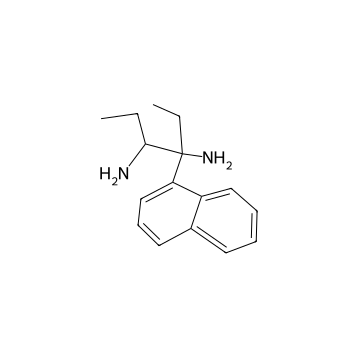 CCC(N)C(N)(CC)c1cccc2ccccc12